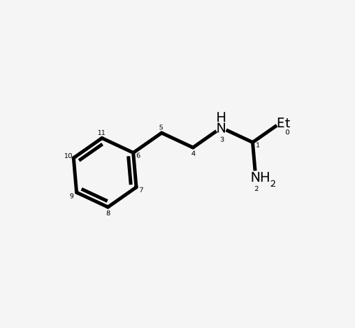 CCC(N)NCCc1ccccc1